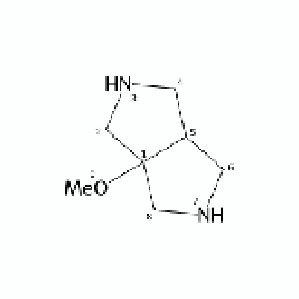 COC12CNCC1CNC2